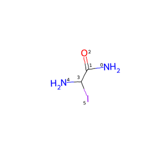 NC(=O)C(N)I